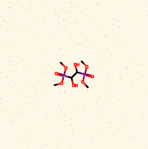 COP(=O)(OC)C(O)C(O)P(=O)(OC)OC